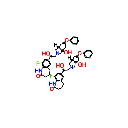 O=C1CCCc2cc([C@@H](O)CN3C[C@H]4C[C@H](Oc5ccccc5)C[C@@]4(O)C3)cc(F)c2N1.O=C1CCCc2cc([C@H](O)CN3C[C@H]4C[C@H](Oc5ccccc5)C[C@@]4(O)C3)cc(F)c2N1